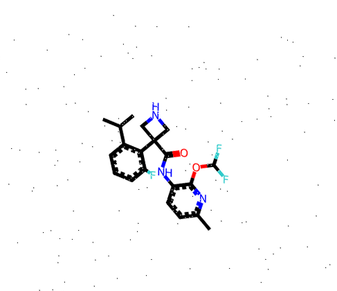 Cc1ccc(NC(=O)C2(c3c(F)cccc3C(C)C)CNC2)c(OC(F)F)n1